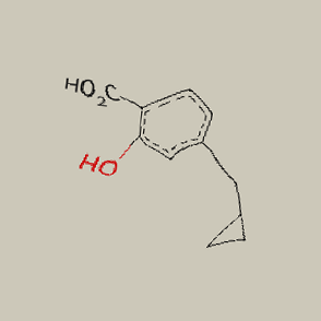 O=C(O)c1ccc(CC2CC2)cc1O